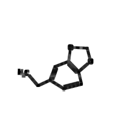 CCc1[c]cc2c(c1)OCO2